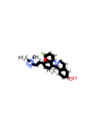 Cc1nnc(/C=C/c2ccc(C3(C)c4ccc(O)cc4CCN3c3ccc(F)cc3)cc2)n1C